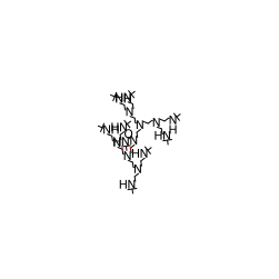 CC(C)(C)NCCCN(CCCNC(C)(C)C)CCCN(CCCN(CCCNC(C)(C)C)CCCNC(C)(C)C)CCCN(CCCN(CCCN(CCCNC(C)(C)C)CCCNC(C)(C)C)CCCN(CCCNC(C)(C)C)CCCNC(C)(C)C)C(=O)NC(C)(C)C